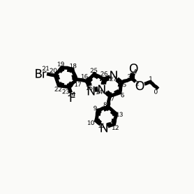 CCOC(=O)c1cc(-c2ccncc2)n2nc(-c3ccc(Br)cc3F)cc2n1